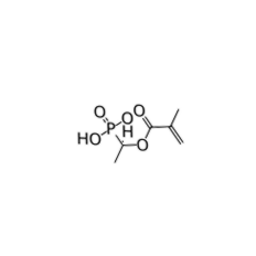 C=C(C)C(=O)O[C](C)P(=O)(O)O